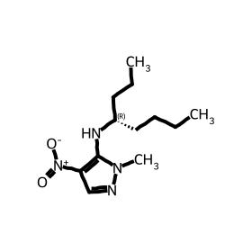 CCCC[C@@H](CCC)Nc1c([N+](=O)[O-])cnn1C